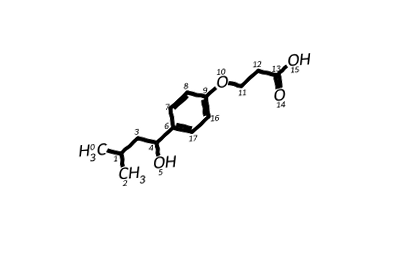 CC(C)CC(O)c1ccc(OCCC(=O)O)cc1